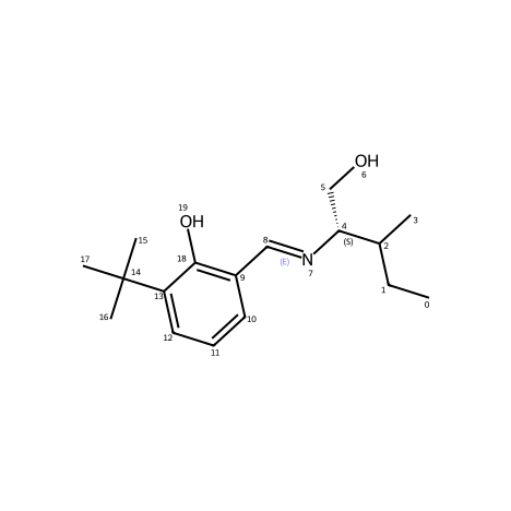 CCC(C)[C@@H](CO)/N=C/c1cccc(C(C)(C)C)c1O